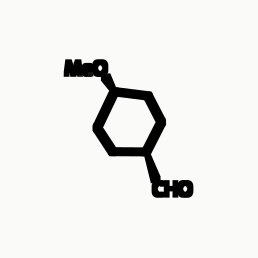 CO[C@H]1CC[C@@H](C=O)CC1